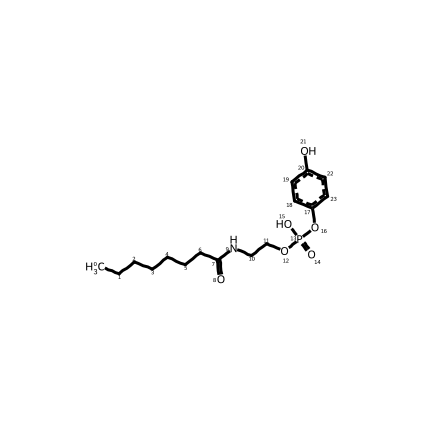 CCCCCCCC(=O)NCCOP(=O)(O)Oc1ccc(O)cc1